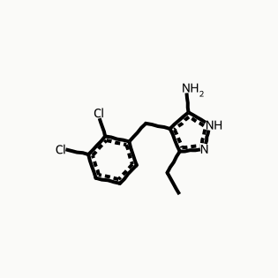 CCc1n[nH]c(N)c1Cc1cccc(Cl)c1Cl